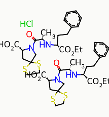 CCOC(=O)[C@H](CCc1ccccc1)N[C@@H](C)C(=O)N1CC2(C[C@H]1C(=O)O)SCCS2.CCOC(=O)[C@H](CCc1ccccc1)N[C@@H](C)C(=O)N1CC2(C[C@H]1C(=O)O)SCCS2.Cl